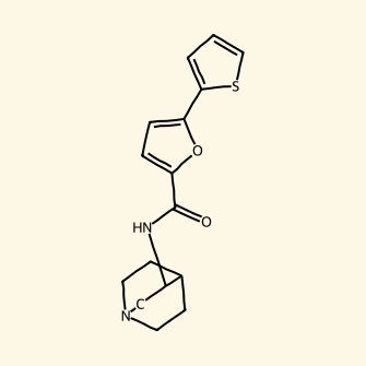 O=C(NC1CN2CCC1CC2)c1ccc(-c2cccs2)o1